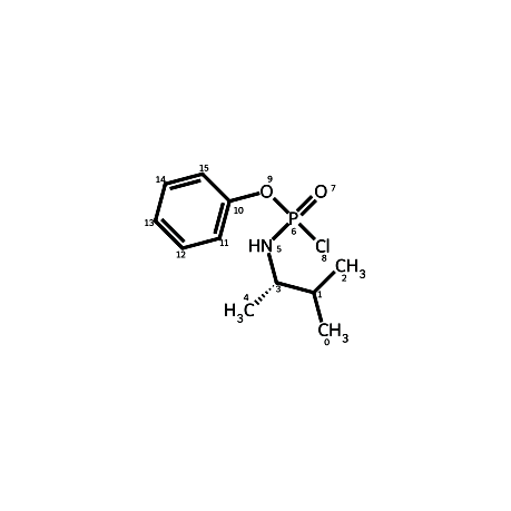 CC(C)[C@H](C)NP(=O)(Cl)Oc1ccccc1